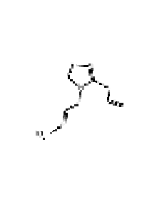 C=CCC1=NCCN1CC=CC(=O)O